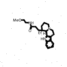 CC[C@]1(CCC(=O)NCCOC)CCCN2CCc3c([nH]c4ccccc34)[C@@H]21